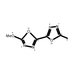 COc1nnc(-c2nnc(C)o2)o1